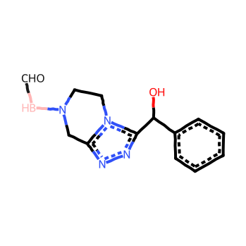 O=CBN1CCn2c(nnc2C(O)c2ccccc2)C1